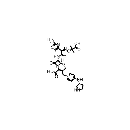 CC(C)(O/N=C(\C(=O)N[C@@H]1C(=O)N2C(C(=O)O)=C(C[n+]3ccc(N[C@H]4CCNC4)cc3)CS[C@H]12)c1nsc(N)n1)C(=O)O